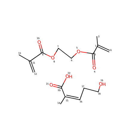 C=C(C)C(=O)OCCOC(=O)C(=C)C.CC(=CCCO)C(=O)O